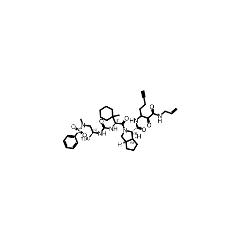 C#CCCC(NC(=O)[C@@H]1[C@H]2CCC[C@H]2CN1C(=O)[C@@H](NC(=O)N[C@H](CN(C)S(=O)(=O)c1ccccc1)C(C)(C)C)C1(C)CCCCC1)C(=O)C(=O)NCC=C